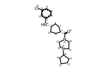 O=C([C@H]1CC[C@@H](Nc2cccc(Cl)c2)CC1)N1CCN(C2CCCC2)CC1